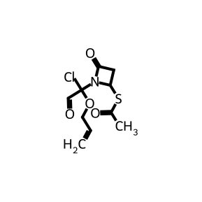 C=CCOC(Cl)(C=O)N1C(=O)CC1SC(C)=O